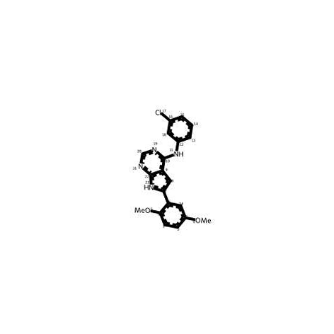 COc1ccc(OC)c(-c2cc3c(Nc4cccc(Cl)c4)ncnc3[nH]2)c1